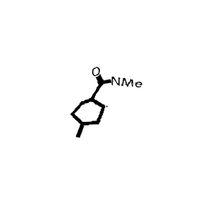 CNC(=O)C1[CH]CC(C)CC1